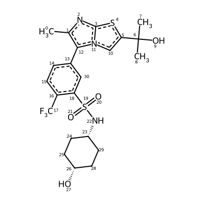 Cc1nc2sc(C(C)(C)O)cn2c1-c1ccc(C(F)(F)F)c(S(=O)(=O)N[C@H]2CC[C@@H](O)CC2)c1